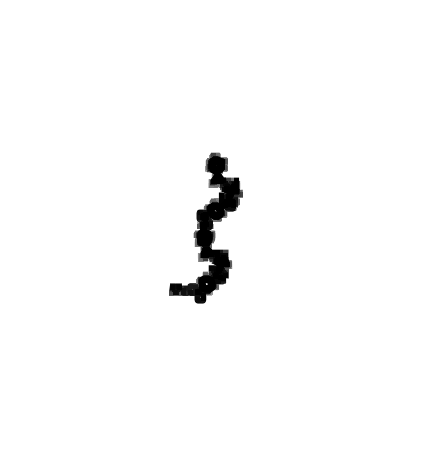 COC(=O)[C@H]1CC[C@H](c2nc(C3(CN[C@H]4C[C@@H]4c4ccc(COC(=O)[C@H]5CC[C@H](c6nc(C7(CN[C@@H]8C[C@H]8c8ccccc8)CC7)no6)CC5)cc4)CC3)no2)CC1